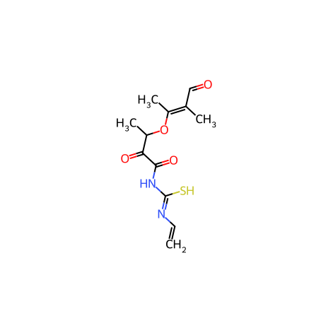 C=C/N=C(\S)NC(=O)C(=O)C(C)O/C(C)=C(\C)C=O